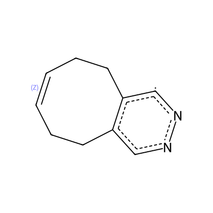 [c]1nncc2c1CC/C=C\CC2